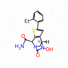 CCc1ccccc1-c1cc2c(s1)C(C(N)=O)N1C[C@H]2N(O)C1=O